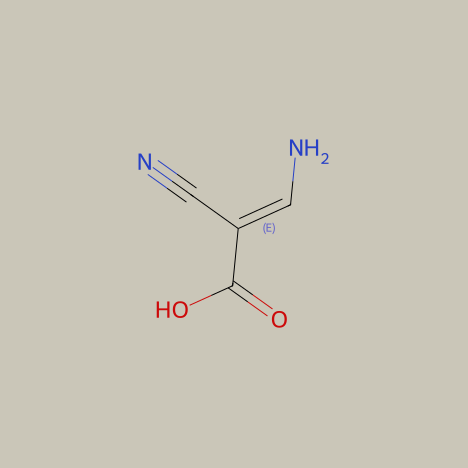 N#C/C(=C\N)C(=O)O